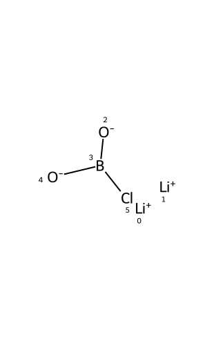 [Li+].[Li+].[O-]B([O-])Cl